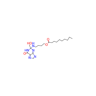 CCCCCCCCCC(=O)OCCCCNC1(CO)N=C2N=CN=C2C(=O)N1